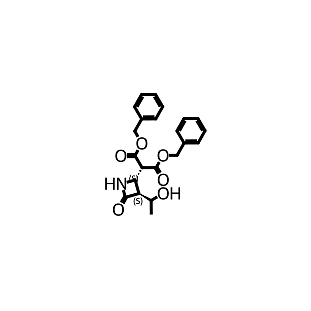 CC(O)[C@H]1C(=O)N[C@@H]1C(C(=O)OCc1ccccc1)C(=O)OCc1ccccc1